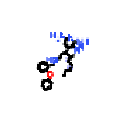 C=C/C=C\C=C(/C)C(CCNCc1ccccc1Oc1ccccc1)c1cc(N)nc2[nH]nnc12